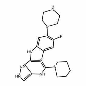 Fc1cc2c(cc1N1CCNCC1)NC1=P2=C(N2CCCCC2)Nc2c[nH]nc21